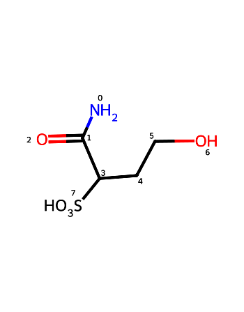 NC(=O)C(CCO)S(=O)(=O)O